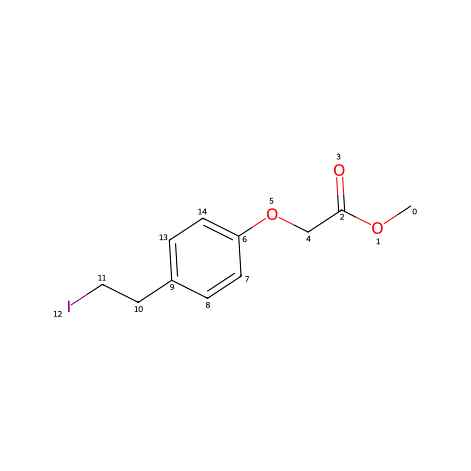 COC(=O)COc1ccc(CCI)cc1